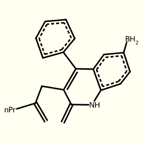 Bc1ccc2c(c1)C(c1ccccc1)=C(CC(=C)CCC)C(=C)N2